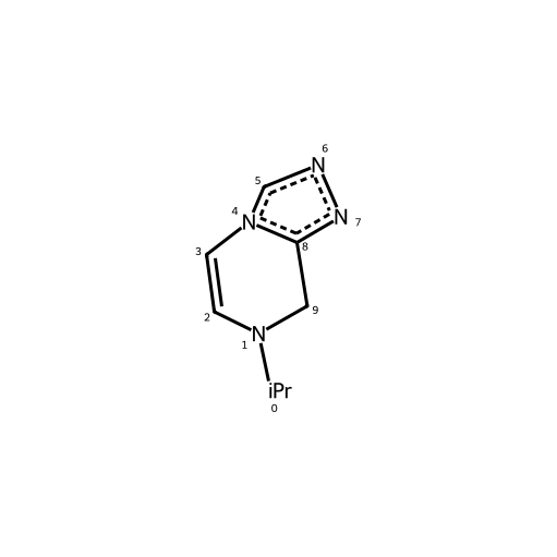 CC(C)N1C=Cn2cnnc2C1